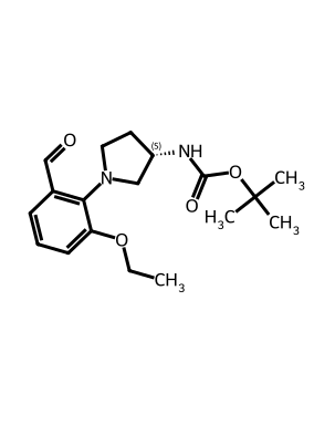 CCOc1cccc(C=O)c1N1CC[C@H](NC(=O)OC(C)(C)C)C1